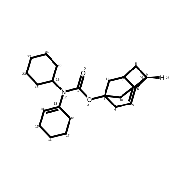 O=C(OC12CC=C3C(C[C@H]3C1)C2)N(C1=CCCCC1)C1CCCCC1